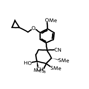 COc1ccc(C2(C#N)CC[C@@](C)(O)C(SC)(SC)[C@H]2SC)cc1OCC1CC1